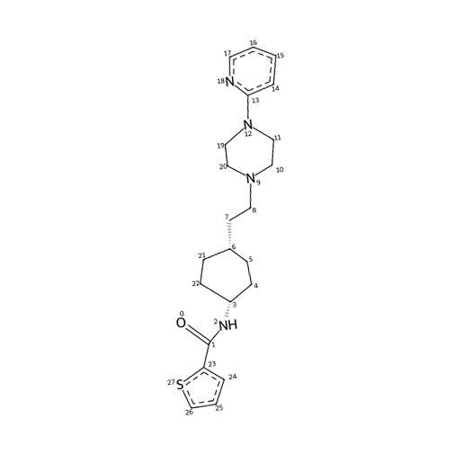 O=C(N[C@H]1CC[C@@H](CCN2CCN(c3ccccn3)CC2)CC1)c1cccs1